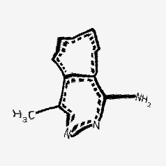 Cc1nnc(N)c2ccccc12